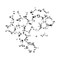 c1ccc2c(c1)oc1c(-c3ccc(-n4c5c(-c6ccc7c(c6)sc6ccccc67)cccc5c5cccc(-c6ccc7c(c6)sc6ccccc67)c54)cc3)cccc12